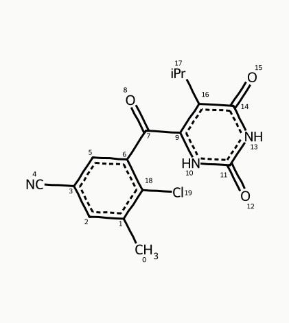 Cc1cc(C#N)cc(C(=O)c2[nH]c(=O)[nH]c(=O)c2C(C)C)c1Cl